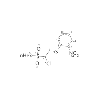 CCCCCCS(=O)(=O)C(Cl)CSc1ccccc1[N+](=O)[O-]